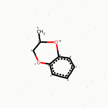 C[C]1COc2ccccc2O1